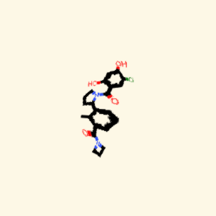 Cc1c(C(=O)N2CCC2)cccc1C1CCCN1C(=O)c1cc(Cl)c(O)cc1O